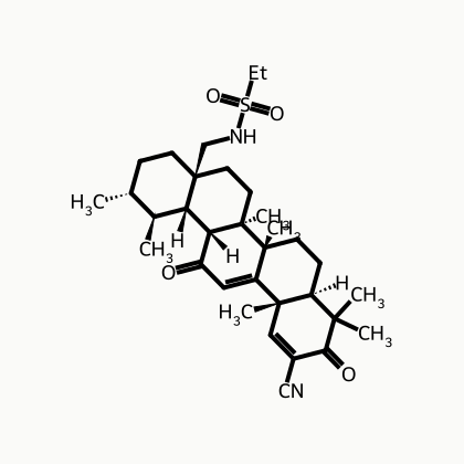 CCS(=O)(=O)NC[C@]12CC[C@@H](C)[C@H](C)[C@H]1[C@H]1C(=O)C=C3[C@@]4(C)C=C(C#N)C(=O)C(C)(C)[C@@H]4CC[C@@]3(C)[C@]1(C)CC2